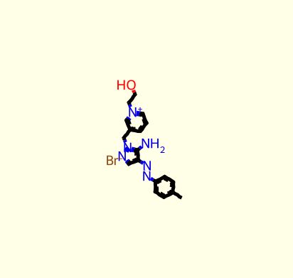 Cc1ccc(N=Nc2cnn(Cc3ccc[n+](CCO)c3)c2N)cc1.[Br-]